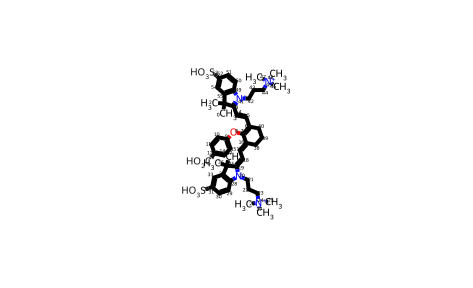 CC1(C)C(/C=C/C2=C(Oc3ccc(C(=O)O)cc3)C(=C/C=C3/N(CCC[N+](C)(C)C)c4ccc(S(=O)(=O)O)cc4C3(C)C)/CCC2)=[N+](CCC[N+](C)(C)C)c2ccc(S(=O)(=O)O)cc21